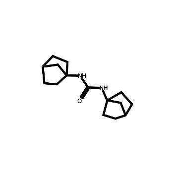 O=C(NC12CCC(CC1)C2)NC12CCC(CC1)C2